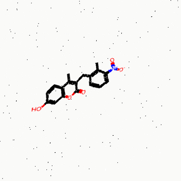 Cc1c(Cc2c(C)c3ccc(O)cc3oc2=O)cccc1[N+](=O)[O-]